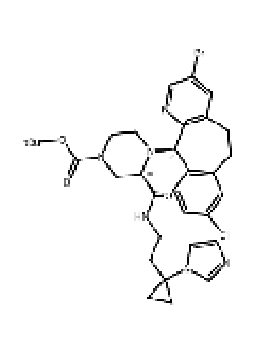 CC(C)(C)OC(=O)N1CCN([C@@H]2c3ccc(Cl)cc3CCc3cc(Br)cnc32)[C@@H](C(=O)NCCC2(n3ccnc3)CC2)C1